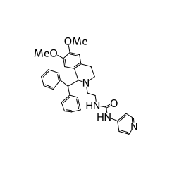 COc1cc2c(cc1OC)C(C(c1ccccc1)c1ccccc1)N(CCNC(=O)Nc1ccncc1)CC2